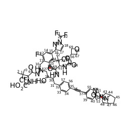 CC(C)(C(NC(=O)O)C(=O)NN(Cc1c(F)cc(-c2ccn(C(F)F)n2)cc1F)CC(O)C(Cc1ccc(C#Cc2ccc(N3CC4CCC(C3)N4C3COC3)nc2)cc1)NC(=O)C(NC(=O)OC1COC1)C(C)(C)C(F)(F)F)C(F)(F)F